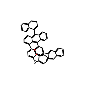 c1cc(-c2ccc3ccccc3c2)cc(-c2c3ccccc3c(-c3cccc4ccccc34)c3cccc(-c4ccc5sc6ccccc6c5c4)c23)c1